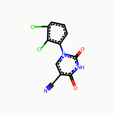 N#Cc1cn(-c2cccc(Cl)c2Cl)c(=O)[nH]c1=O